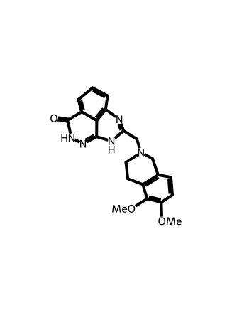 COc1ccc2c(c1OC)CCN(CC1=Nc3cccc4c(=O)[nH]nc(c34)N1)C2